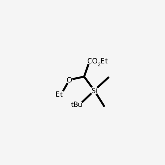 CCOC(=O)C(OCC)[Si](C)(C)C(C)(C)C